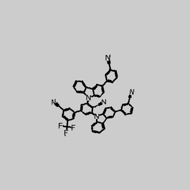 N#Cc1cccc(-c2ccc3c(c2)c2ccccc2n3-c2cc(-c3cc(C#N)cc(C(F)(F)F)c3)cc(-n3c4ccccc4c4cc(-c5cccc(C#N)c5)ccc43)c2C#N)c1